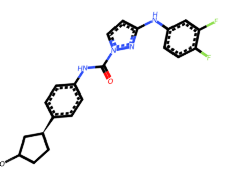 CC(=O)OC1CC[C@H](c2ccc(NC(=O)n3ccc(Nc4ccc(F)c(F)c4)n3)cc2)C1